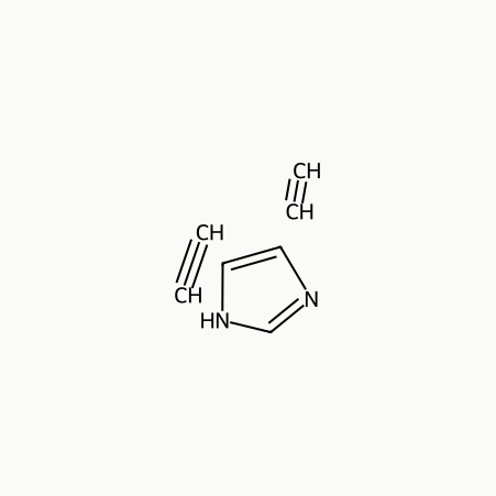 C#C.C#C.c1c[nH]cn1